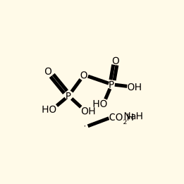 O=P(O)(O)OP(=O)(O)O.[CH2]C(=O)O.[NaH]